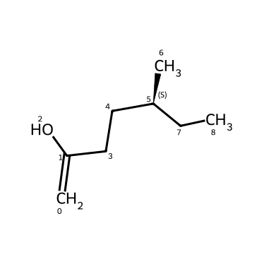 C=C(O)CC[C@@H](C)CC